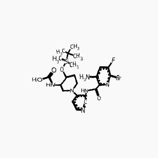 CC(C)(C)[Si](C)(C)OC1CCN(c2ccncc2NC(=O)c2nc(Br)c(F)cc2N)CC1NC(=O)O